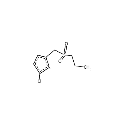 CCCS(=O)(=O)Cc1ccc(Cl)s1